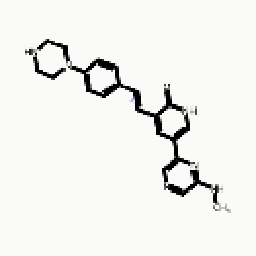 CNc1cncc(-c2c[nH]c(=O)c(/C=C/c3ccc(N4CCNCC4)cc3)c2)n1